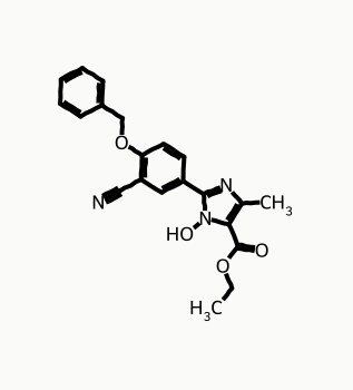 CCOC(=O)c1c(C)nc(-c2ccc(OCc3ccccc3)c(C#N)c2)n1O